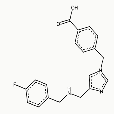 O=C(O)c1ccc(Cn2cnc(CNCc3ccc(F)cc3)c2)cc1